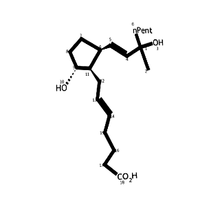 CCCCCC(C)(O)C=C[C@@H]1CC[C@@H](O)[C@@H]1CC=CCCCC(=O)O